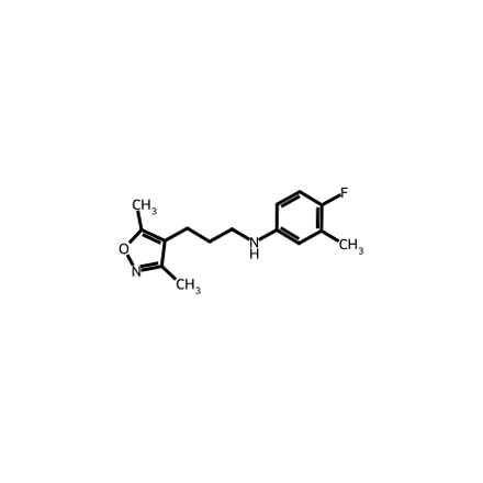 Cc1cc(NCCCc2c(C)noc2C)ccc1F